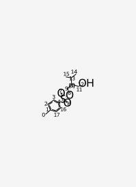 Cc1ccc(S(=O)(=O)OC[C@H](CO)C(C)C)cc1